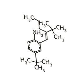 CCC/C(=C\c1cc(C(C)(C)C)ccc1N)C(C)(C)C